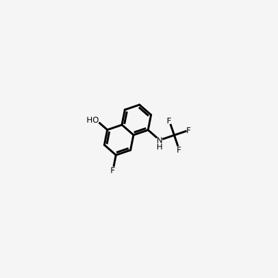 Oc1cc(F)cc2c(NC(F)(F)F)cccc12